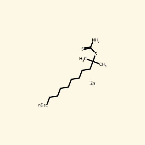 CCCCCCCCCCCCCCCCCCC(C)(C)SC(N)=S.[Zn]